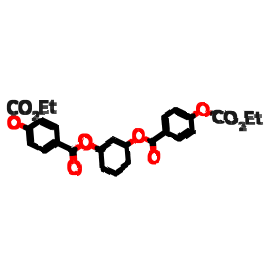 CCOC(=O)Oc1ccc(C(=O)OC2CCCC(OC(=O)c3ccc(OC(=O)OCC)cc3)C2)cc1